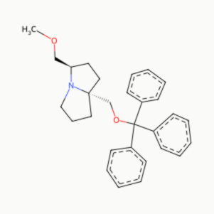 COC[C@H]1CC[C@@]2(COC(c3ccccc3)(c3ccccc3)c3ccccc3)CCCN12